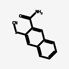 N#CSc1cc2ccccc2cc1C(N)=O